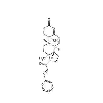 C[C@]12CC[C@H]3[C@@H](CCC4=CC(=O)CC[C@@]43C)[C@@H]1CC[C@@H]2C(=O)C=Cc1ccccc1